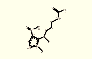 CN(CCCNC(=O)O)c1c([N+](=O)[O-])cnn1C